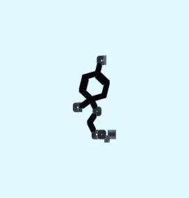 O=C(O)COC1(Cl)C=CC(Cl)=CC1